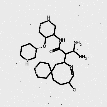 NC(N)C(C(=O)NC1CNCCC1O[C@H]1CCCNC1)C1CC2(CCCCC2)CCC(Cl)/C=N\1